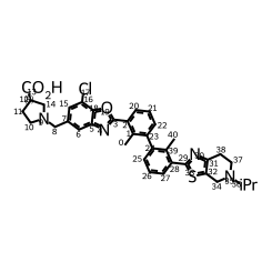 Cc1c(-c2nc3cc(CN4CC[C@@H](C(=O)O)C4)cc(Cl)c3o2)cccc1-c1cccc(-c2nc3c(s2)CN(C(C)C)CC3)c1C